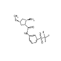 CO[C@@H]1CC(C(=O)Nc2cccc(S(=O)(=O)C(F)(F)F)c2)[C@H](N)C1